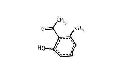 CC(=O)c1c(N)cccc1O